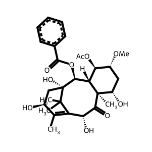 CO[C@@H]1C[C@H](O)[C@@]2(C)C(=O)[C@H](O)C3=C(C)[C@@H](O)C[C@@](O)([C@@H](OC(=O)c4ccccc4)[C@@H]2[C@H]1OC(C)=O)C3(C)C